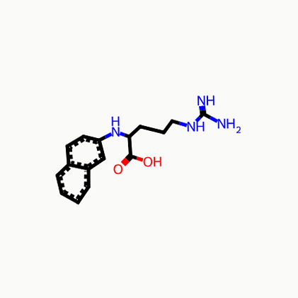 N=C(N)NCCCC(Nc1ccc2ccccc2c1)C(=O)O